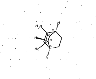 CC(=O)[C@@H]1C(N)[C@H]2C=C[C@@H]1CC2